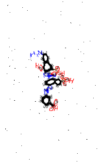 Nc1ccc2cc(S(=O)(=O)O)c(/N=N/c3ccc(/N=N/c4cccc(C(=O)O)c4)c4ccc(S(=O)(=O)O)cc34)c(O)c2c1